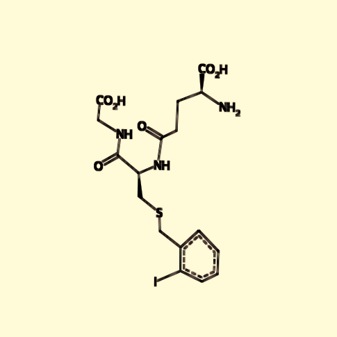 N[C@@H](CCC(=O)N[C@@H](CSCc1ccccc1I)C(=O)NCC(=O)O)C(=O)O